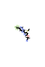 CCSc1cc(OC(C)(C)C#N)cnc1-c1cn2cnc(C(F)(F)C(F)(F)F)cc2n1